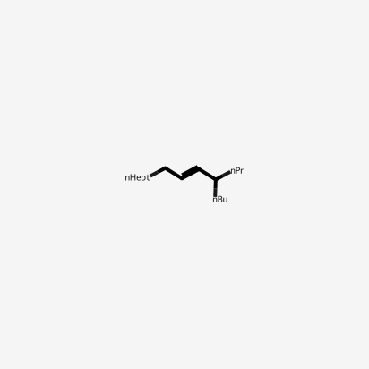 CCCCCCCCC=CC(CCC)CCCC